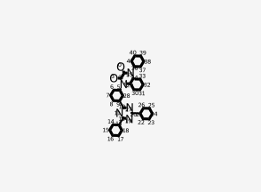 O=c1c(=O)n(-c2cccc(-c3nc(-c4ccccc4)nc(-c4ccccc4)n3)c2)c2ccccc2n1-c1ccccc1